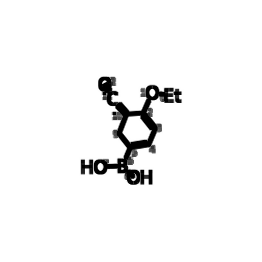 CCOC1=CC=C(B(O)O)CC1=C=O